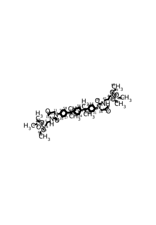 CCO[Si](CCCNC(=O)N(CC1CO1)c1ccc(C(C)(C)c2ccc(C(C)(C)c3ccc(N(CC4CO4)C(=O)NCCC[Si](OCC)(OCC)OCC)cc3)cc2)cc1)(OCC)OCC